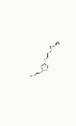 CCCCC1CCC(CCCCN=C=O)C1